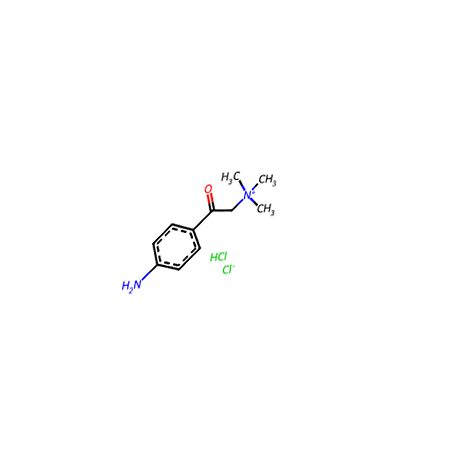 C[N+](C)(C)CC(=O)c1ccc(N)cc1.Cl.[Cl-]